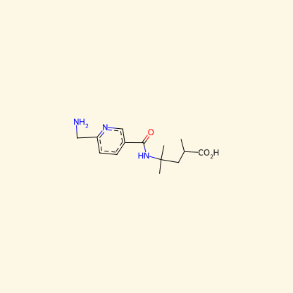 CC(CC(C)(C)NC(=O)c1ccc(CN)nc1)C(=O)O